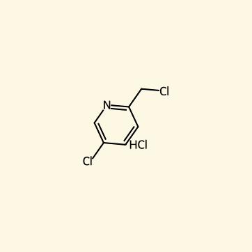 Cl.ClCc1ccc(Cl)cn1